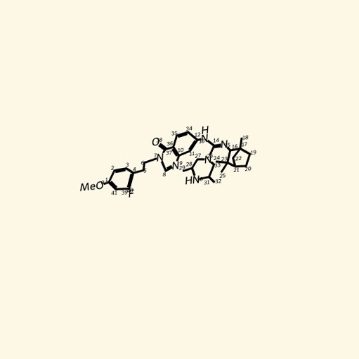 COc1ccc(CCn2cnc3cc(N/C(=N/C4C5(C)CCC(C5)C4(C)C)N4CC(C)NC(C)C4)ccc3c2=O)c(F)c1